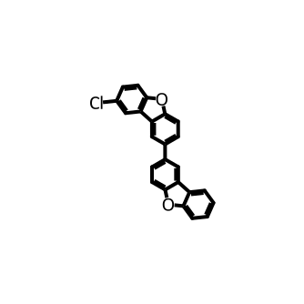 Clc1ccc2oc3ccc(-c4ccc5oc6ccccc6c5c4)cc3c2c1